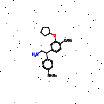 COc1ccc(C(CN)c2ccc(NC(C)=O)cc2)cc1OC1CCCC1